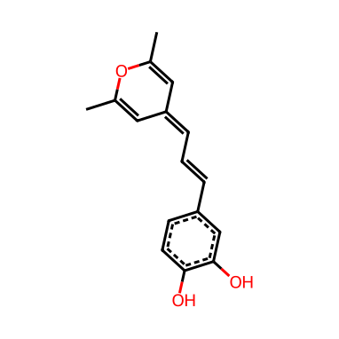 CC1=CC(=C/C=C/c2ccc(O)c(O)c2)C=C(C)O1